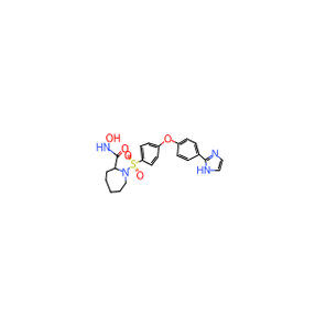 O=C(NO)C1CCCCCN1S(=O)(=O)c1ccc(Oc2ccc(-c3ncc[nH]3)cc2)cc1